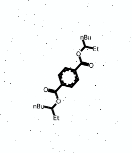 CCCCC(CC)OC(=O)c1ccc(C(=O)OC(CC)CCCC)cc1